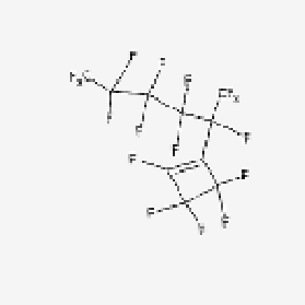 FC1=C(C(F)(C(F)(F)F)C(F)(F)C(F)(F)C(F)(F)C(F)(F)F)C(F)(F)C1(F)F